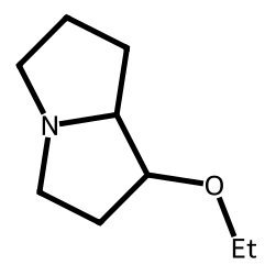 CCOC1CCN2CCCC12